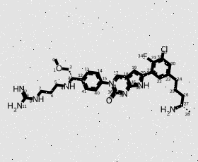 COC[C@@H](NCCCNC(=N)N)c1ccc(-n2cc3cc(-c4cc(CCC[C@H](C)N)cc(Cl)c4F)[nH]c3nc2=O)cc1